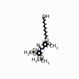 COc1cc(/C=C(\C#N)c2cc(OC(C)C)cc(OC(C)C)c2)ccc1OCCCCCCCCCCCO